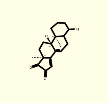 C[C@]12CC[C@H]3C(=CCC4C(O)CCC[C@@]43C)C1=CC(=O)C2=O